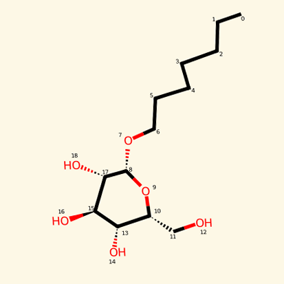 CCCCCCCO[C@@H]1O[C@H](CO)[C@H](O)[C@@H](O)[C@@H]1O